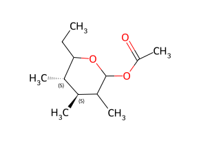 CCC1OC(OC(C)=O)C(C)[C@@H](C)[C@@H]1C